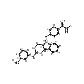 CNC(=O)c1ccc(Cn2c3c(c4ccccc42)CN(Cc2cccc(OC)c2)CC3)cc1